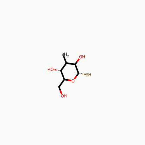 BC1C(O)[C@H](S)OC(CO)[C@@H]1O